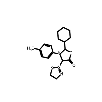 Cc1ccc([C@H]2C(C3CCCCC3)OC(=O)C2S2=NCCS2)cc1